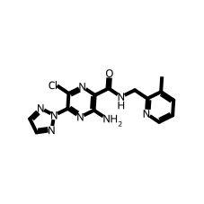 Cc1cccnc1CNC(=O)c1nc(Cl)c(-n2nccn2)nc1N